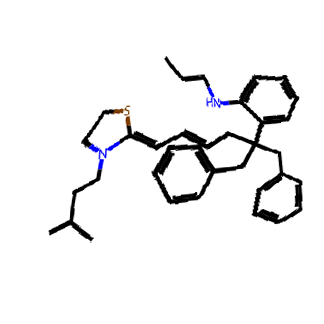 CCCNc1ccccc1C(C/C=C/C=C1\SCCN1CCC(C)C)(Cc1ccccc1)Cc1ccccc1